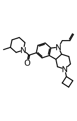 C=CCN1c2ccc(C(=O)N3CCCC(C)C3)cc2C2CN(C3CCC3)CCC21